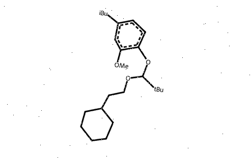 CCC(C)c1ccc(OC(OCCC2CCCCC2)C(C)(C)C)c(OC)c1